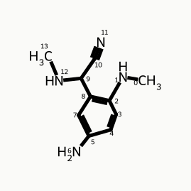 CNc1ccc(N)cc1C(C#N)NC